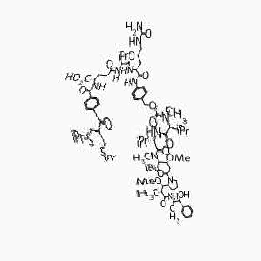 CC[C@H](C)[C@@H]([C@@H](CC(=O)N1CCC[C@H]1[C@H](OC)[C@@H](C)C(=O)N[C@H](C)[C@@H](O)c1ccccc1)OC)N(C)C(=O)[C@@H](NC(=O)[C@H](C(C)C)N(C)C(=O)OCc1ccc(NC(=O)[C@H](CCCNC(N)=O)NC(=O)[C@@H](NC(=O)CC[C@H](NC(=O)c2ccc(C(=O)C(CSC(C)C)CSC(C)C)cc2)C(=O)O)C(C)C)cc1)C(C)C